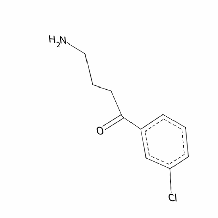 NCCCC(=O)c1cccc(Cl)c1